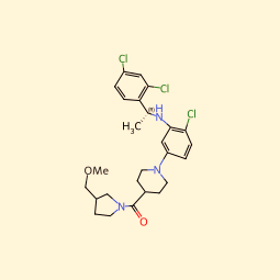 COCC1CCN(C(=O)C2CCN(c3ccc(Cl)c(N[C@H](C)c4ccc(Cl)cc4Cl)c3)CC2)C1